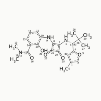 Cc1coc([C@H](Nc2c(Nc3cccc(C(=O)N(C)C)c3O)c(=O)c2=O)C(C)(C)C)c1